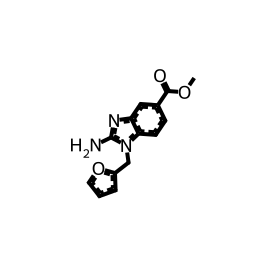 COC(=O)c1ccc2c(c1)nc(N)n2Cc1ccco1